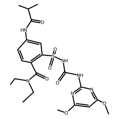 CCN(CC)C(=O)c1ccc(NC(=O)C(C)C)cc1S(=O)(=O)NC(=O)Nc1nc(OC)cc(OC)n1